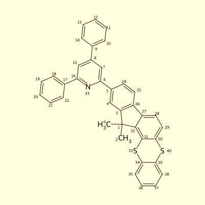 CC1(C)c2cc(-c3cc(-c4ccccc4)cc(-c4ccccc4)n3)ccc2-c2ccc3c(c21)Sc1ccccc1S3